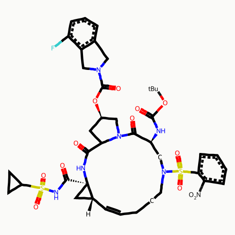 CC(C)(C)OC(=O)N[C@H]1CN(S(=O)(=O)c2ccccc2[N+](=O)[O-])CCC/C=C\[C@@H]2C[C@@]2(C(=O)NS(=O)(=O)C2CC2)NC(=O)C2C[C@@H](OC(=O)N3Cc4cccc(F)c4C3)CN2C1=O